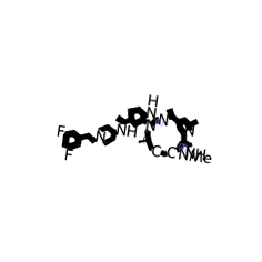 C=C1/N=C2\Nc3ccc(C(=C)NC4CCN(CCc5cc(F)cc(F)c5)CC4)cc3N2C[C@H](C)CCCC/C(NC)=C(/C=N)c2cc1cc(C)n2